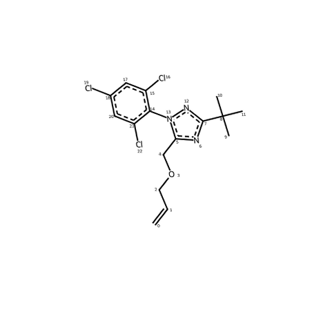 C=CCOCc1nc(C(C)(C)C)nn1-c1c(Cl)cc(Cl)cc1Cl